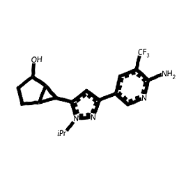 CC(C)n1nc(-c2cnc(N)c(C(F)(F)F)c2)cc1C1C2CCC(O)C21